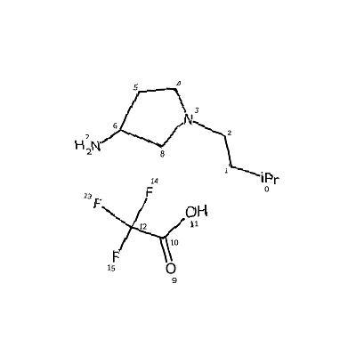 CC(C)CCN1CCC(N)C1.O=C(O)C(F)(F)F